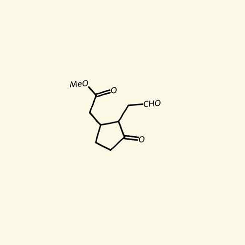 COC(=O)CC1CCC(=O)C1CC=O